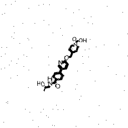 C[C@@H](O)CNC(=O)C1CC=C(c2ccc(OCC3CCN(C(=O)O)CC3)nc2)CC1